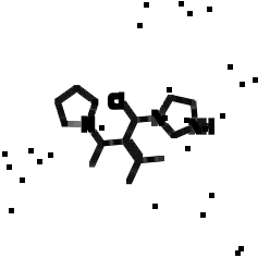 CC(C)=C(C(C)N1CCCC1)C(Cl)N1CCNC1